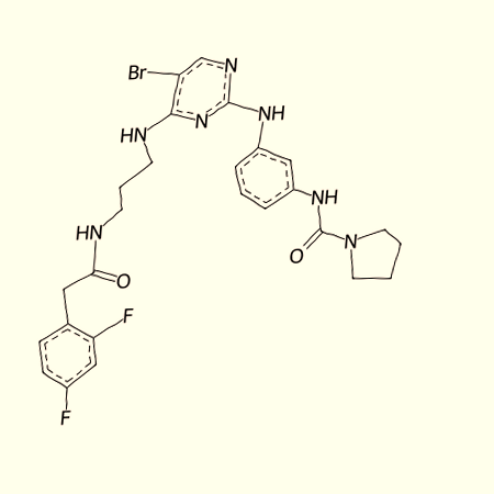 O=C(Cc1ccc(F)cc1F)NCCCNc1nc(Nc2cccc(NC(=O)N3CCCC3)c2)ncc1Br